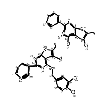 Cc1sc2nc(-c3cccnc3)nc(Cl)c2c1Cl.Cc1sc2nc(-c3cccnc3)nc(NCc3ccc(Cl)c(Cl)c3)c2c1Cl